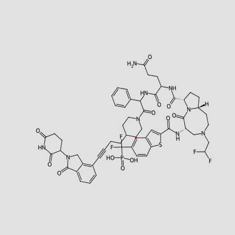 NC(=O)CCC(NC(=O)[C@@H]1CC[C@@H]2CCN(CC(F)F)C[C@H](NC(=O)c3cc4cc(C(F)(F)P(=O)(O)O)ccc4s3)C(=O)N21)C(=O)NC(C(=O)N1CCC(CCC#Cc2cccc3c2CN(C2CCC(=O)NC2=O)C3=O)CC1)c1ccccc1